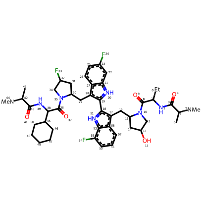 CCC(NC(=O)C(C)NC)C(=O)N1CC(O)CC1Cc1c(-c2[nH]c3cc(F)ccc3c2CC2CC(F)CN2C(=O)C(NC(=O)C(C)NC)C2CCCCC2)[nH]c2c(F)cccc12